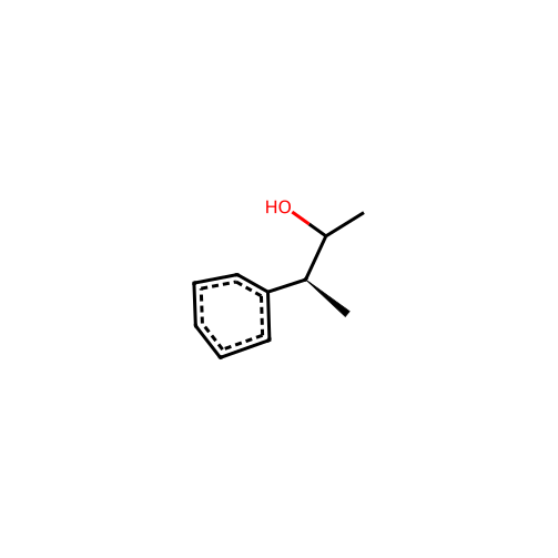 CC(O)[C@@H](C)c1ccccc1